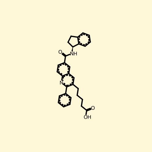 O=C(O)CCCCc1cc2cc(C(=O)N[C@H]3CCc4ccccc43)ccc2nc1-c1ccccc1